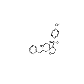 O=S(=O)(c1ccc(O)cc1)N1CCOC12CCNC(Cc1ccccc1)C2